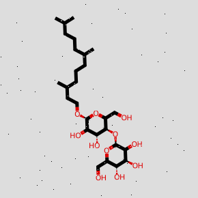 CC(C)CCCC(C)CCCC(C)CCO[C@H]1OC(CO)[C@@H](O[C@@H]2OC(CO)[C@@H](O)[C@H](O)C2O)[C@H](O)C1O